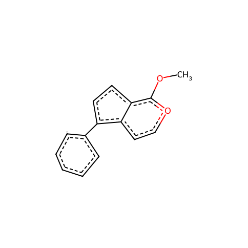 COc1occc2c(-c3[c]cccc3)ccc1-2